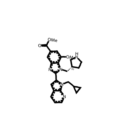 COC(=O)c1cc(OC)c2c(c1)nc(-c1cc3cccnc3n1CC1CC1)n2C[C@H]1CCNC1